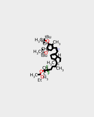 CCOC(C)OC(C)(C)C(F)(F)CC[C@@H](C)[C@H]1CC[C@H]2C(/C=C\C3=C(C)[C@H](O[Si](C)(C)C(C)(C)C)C[C@@H](O[Si](C)(C)C(C)(C)C)C3)=CCC[C@]12C